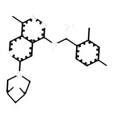 Cc1cc(F)ccc1[C@@H](N)Nc1nnc(C)c2cnc(N3CC4CC(C3)O4)cc12